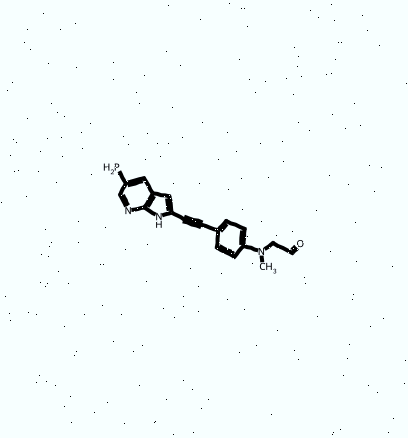 CN(CC=O)c1ccc(C#Cc2cc3cc(P)cnc3[nH]2)cc1